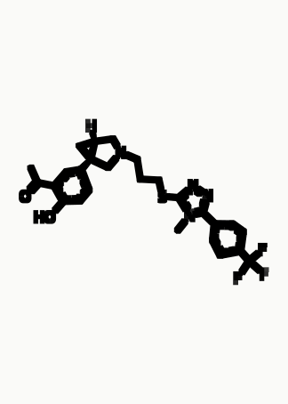 CC(=O)c1cc([C@@]23C[C@@H]2CN(CCCSc2nnc(-c4ccc(C(F)(F)F)cc4)n2C)C3)ccc1O